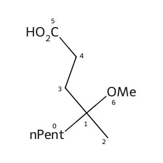 CCCCCC(C)(CCC(=O)O)OC